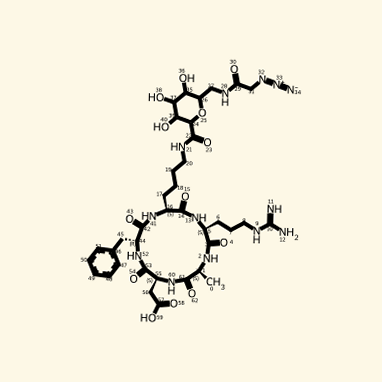 C[C@@H]1NC(=O)[C@H](CCCNC(=N)N)NC(=O)[C@H](CCCCNC(=O)C2OC(CNC(=O)CN=[N+]=[N-])C(O)C(O)C2O)NC(=O)[C@@H](Cc2ccccc2)NC(=O)[C@H](CC(=O)O)NC1=O